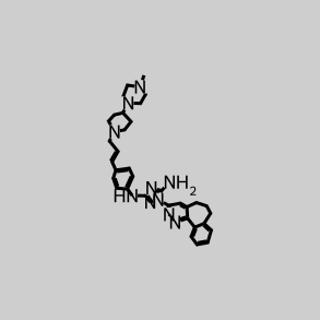 CN1CCN(C2CCN(CC=Cc3ccc(Nc4nc(N)n(-c5cc6c(nn5)-c5ccccc5CCC6)n4)cc3)CC2)CC1